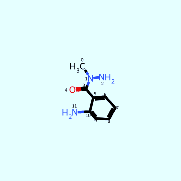 CN(N)C(=O)c1ccccc1N